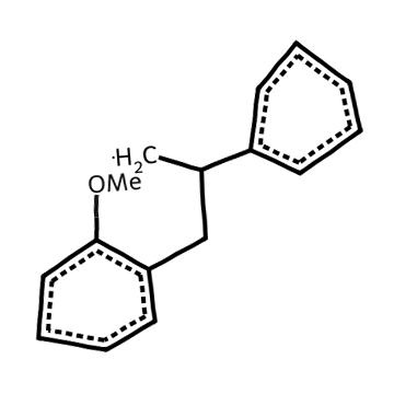 [CH2]C(Cc1ccccc1OC)c1ccccc1